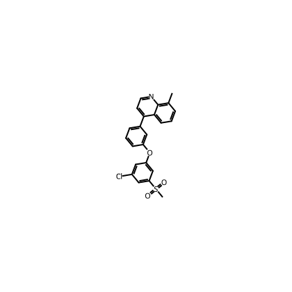 Cc1cccc2c(-c3cccc(Oc4cc(Cl)cc(S(C)(=O)=O)c4)c3)ccnc12